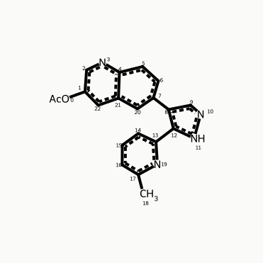 CC(=O)Oc1cnc2ccc(-c3cn[nH]c3-c3cccc(C)n3)cc2c1